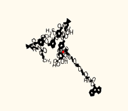 C=CCOC(=O)N1C[C@@H]2CC3(CC3)CN2C(=O)c2cc(OC)c(OCc3cccc(COc4cc5c(cc4OC)C(=O)N4CC6(CC6)C[C@H]4[C@H](O)N5C(=O)OCc4ccc(O[C@H]5O[C@@H](C(=O)O)[C@H](O)[C@@H](O)[C@@H]5O)c(NC(=O)CCOCCOCCOCCOCCNC(=O)OCC5c6ccccc6-c6ccccc65)c4)c3)cc21